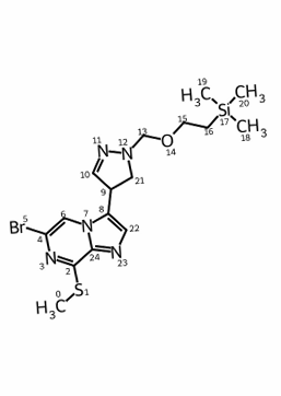 CSc1nc(Br)cn2c(C3C=NN(COCC[Si](C)(C)C)C3)cnc12